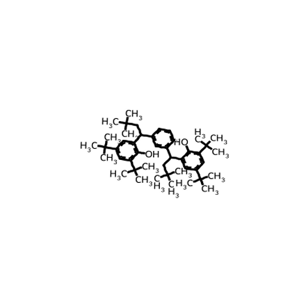 CC(C)(C)CC(c1[c]ccc(C(CC(C)(C)C)c2cc(C(C)(C)C)cc(C(C)(C)C)c2O)c1)c1cc(C(C)(C)C)cc(C(C)(C)C)c1O